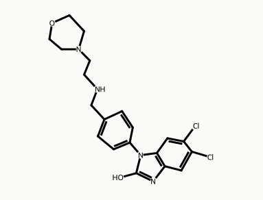 Oc1nc2cc(Cl)c(Cl)cc2n1-c1ccc(CNCCN2CCOCC2)cc1